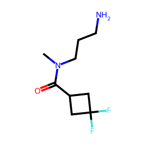 CN(CCCN)C(=O)C1CC(F)(F)C1